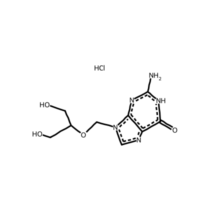 Cl.Nc1nc2c(ncn2COC(CO)CO)c(=O)[nH]1